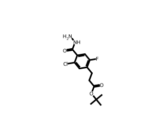 CC(C)(C)OC(=O)CCc1cc(Cl)c(C(=O)NN)cc1F